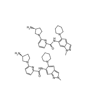 Cn1cc2cc(N3CCCCC3)c(NC(=O)c3cccc(N4CC[C@H](N)C4)n3)cc2n1.Cn1ncc2cc(N3CCCCC3)c(NC(=O)c3cccc(N4CC[C@H](N)C4)n3)cc21